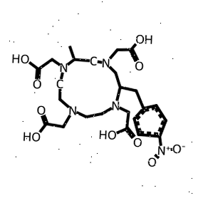 CC1CN(CC(=O)O)CC(Cc2ccc([N+](=O)[O-])cc2)N(CC(=O)O)CCN(CC(=O)O)CCN1CC(=O)O